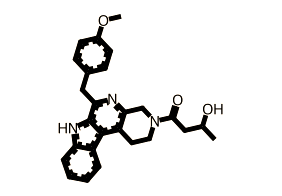 COc1ccc(Cc2nc3c(c4c2[nH]c2ccccc24)CCN(C(=O)CC(C)O)C3)cc1